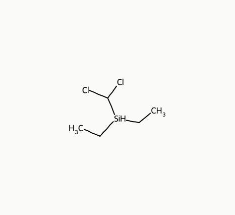 CC[SiH](CC)C(Cl)Cl